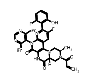 C=CC(=O)N1C[C@@H]2C(=O)Nc3c(c4cc(F)c(-c5c(O)cccc5F)nc4n(-c4c(C(C)C)ncnc4C(C)C)c3=O)N2C[C@H]1C